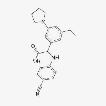 CCc1cc(C(Nc2ccc(C#N)cc2)C(=O)O)cc(N2CCCC2)c1